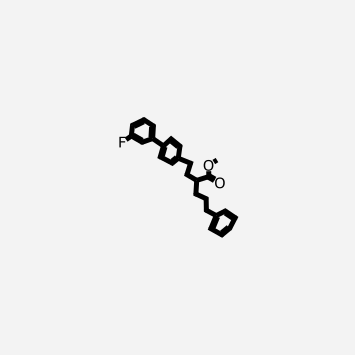 COC(=O)C(CCCc1ccccc1)CCc1ccc(-c2cccc(F)c2)cc1